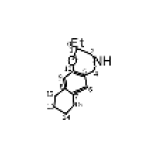 CC[C@@H]1CNCc2cc3c(cc2O1)CCCC3